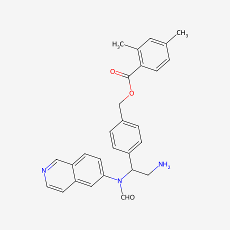 Cc1ccc(C(=O)OCc2ccc(C(CN)N(C=O)c3ccc4cnccc4c3)cc2)c(C)c1